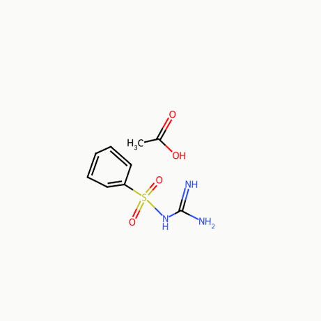 CC(=O)O.N=C(N)NS(=O)(=O)c1ccccc1